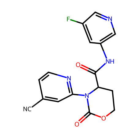 N#Cc1ccnc(N2C(=O)OCCC2C(=O)Nc2cncc(F)c2)c1